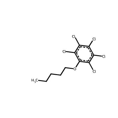 CCCCCOc1c(Cl)c(Cl)c(Cl)c(Cl)c1Cl